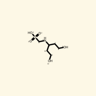 O=S(=O)(O)CNC(CCO)CCO